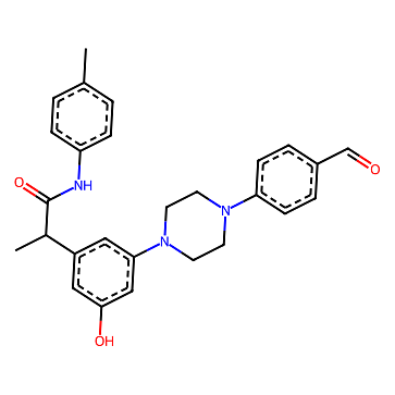 Cc1ccc(NC(=O)C(C)c2cc(O)cc(N3CCN(c4ccc(C=O)cc4)CC3)c2)cc1